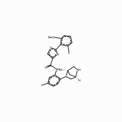 COc1cccc(F)c1-c1nc(C(=O)Nc2cc(F)ccc2N2C[C@H]3C[C@@H]2CN3)cs1